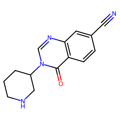 N#Cc1ccc2c(=O)n(C3CCCNC3)cnc2c1